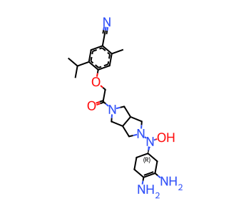 Cc1cc(OCC(=O)N2CC3CN(N(O)[C@@H]4CCC(N)=C(N)C4)CC3C2)c(C(C)C)cc1C#N